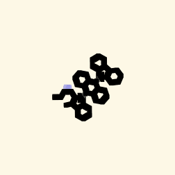 C=C/C=C\c1c(C)c2ccccc2n1-c1c2ccccc2c(-n2c3c(c4ccccc42)CCC=C3)c2ccccc12